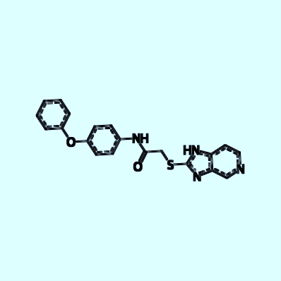 O=C(CSc1nc2cnccc2[nH]1)Nc1ccc(Oc2ccccc2)cc1